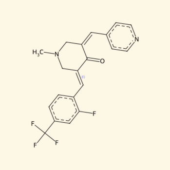 CN1CC(=Cc2ccncc2)C(=O)/C(=C/c2ccc(C(F)(F)F)cc2F)C1